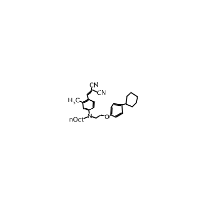 CCCCCCCCN(CCOc1ccc(C2CCCCC2)cc1)c1ccc(C=C(C#N)C#N)c(C)c1